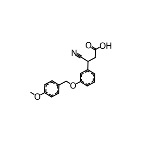 COc1ccc(COc2cccc(C(C#N)CC(=O)O)c2)cc1